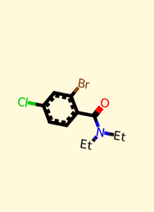 CCN(CC)C(=O)c1ccc(Cl)cc1Br